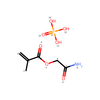 C=C(C)C(=O)OCC(N)=O.O=P(O)(O)O